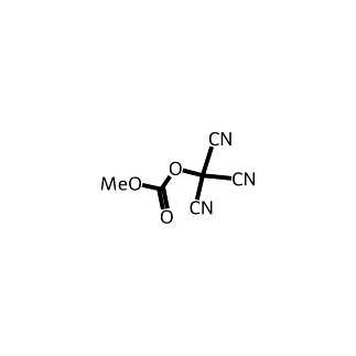 COC(=O)OC(C#N)(C#N)C#N